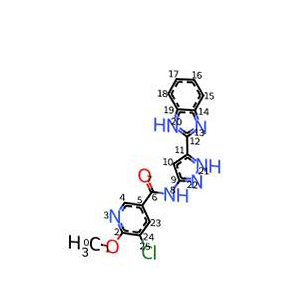 COc1ncc(C(=O)Nc2cc(-c3nc4ccccc4[nH]3)[nH]n2)cc1Cl